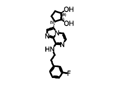 O[C@@H]1[C@H](O)CC[C@H]1c1cnc2c(NCCc3cccc(F)c3)nccn12